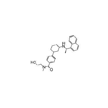 C[C@@H](NC1CCCC(c2ccc(C(=O)N(C)CCO)cc2)C1)c1cccc2ccccc12